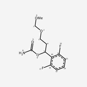 COCOCCC(OC(N)=O)c1c(F)cccc1F